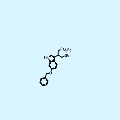 CCOC(=O)CC(CC(C)(C)C)c1c[nH]c2cc(OCc3ccccc3)ccc12